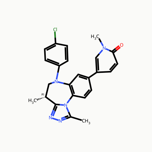 Cc1nnc2n1-c1ccc(-c3ccc(=O)n(C)c3)cc1N(c1ccc(Cl)cc1)C[C@H]2C